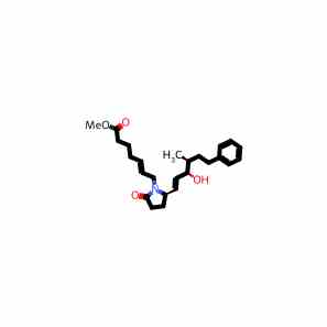 COC(=O)CCCC=CCN1C(=O)CC[C@@H]1C=C[C@H](O)[C@@H](C)CCc1ccccc1